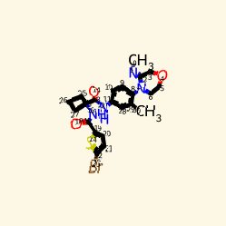 CN=C1COCCN1c1ccc(NC(=O)C2(NC(=O)c3ccc(Br)s3)CCC2)cc1C